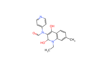 CCN1c2cc(C)ccc2C(O)=C(N(C=O)c2ccncc2)C1O